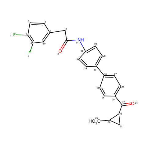 O=C(Cc1ccc(F)c(F)c1)Nc1ccc(-c2ccc(C(=O)C3CC3C(=O)O)cc2)cc1